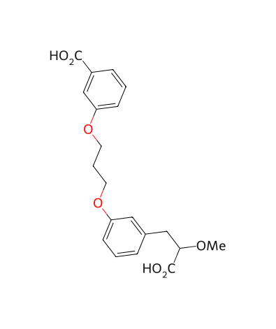 COC(Cc1cccc(OCCCOc2cccc(C(=O)O)c2)c1)C(=O)O